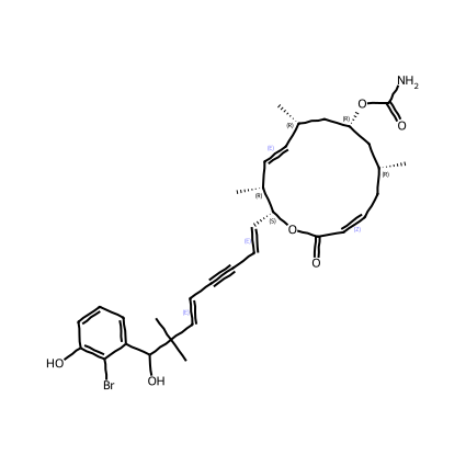 C[C@@H]1C/C=C\C(=O)O[C@H](/C=C/C#C/C=C/C(C)(C)C(O)c2cccc(O)c2Br)[C@H](C)/C=C/[C@H](C)C[C@H](OC(N)=O)C1